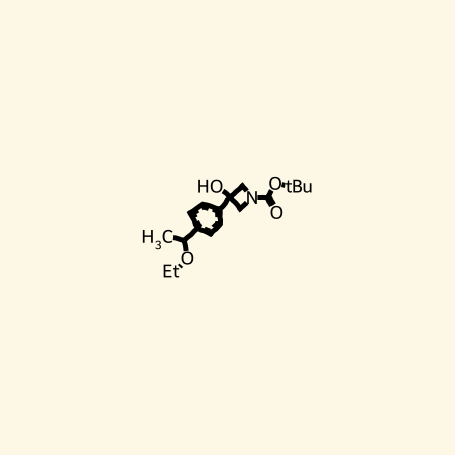 CCOC(C)c1ccc(C2(O)CN(C(=O)OC(C)(C)C)C2)cc1